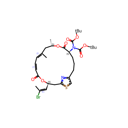 C/C(Br)=C\[C@@H]1Cc2nc(cs2)CCC[C@H](N(C(=O)OC(C)(C)C)C(=O)OC(C)(C)C)C(=O)O[C@@H](C)C/C(C)=C/C=C\C(=O)O1